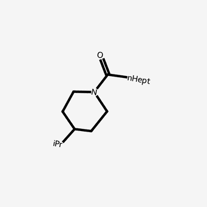 CCCCCCCC(=O)N1CCC(C(C)C)CC1